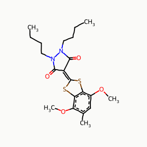 CCCCN1C(=O)C(=C2Sc3c(OC)cc(C)c(OC)c3S2)C(=O)N1CCCC